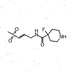 CS(=O)(=O)C=CCNC(=O)C1(F)CCNCC1